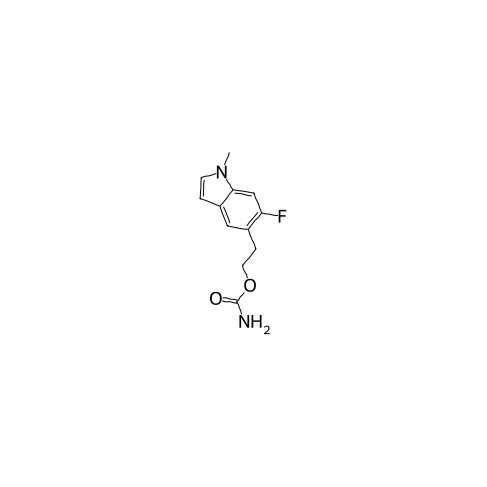 Cn1ccc2cc(CCOC(N)=O)c(F)cc21